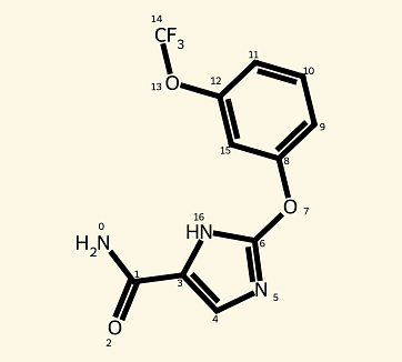 NC(=O)c1cnc(Oc2cccc(OC(F)(F)F)c2)[nH]1